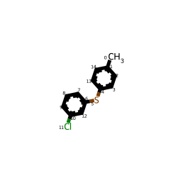 Cc1ccc(Sc2cccc(Cl)c2)cc1